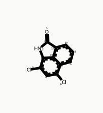 O=C1Nc2c(Cl)cc(Cl)c3cccc1c23